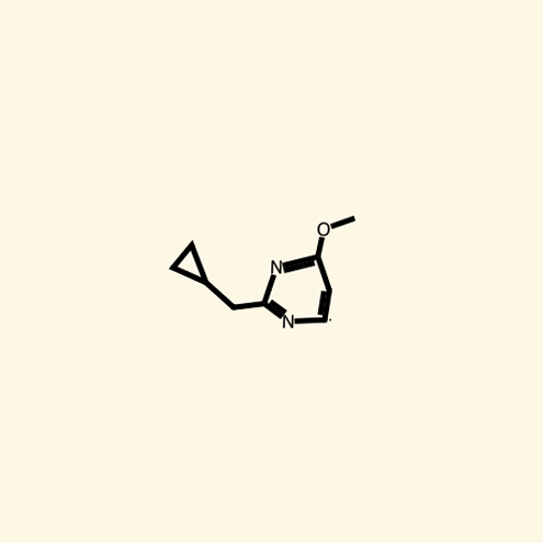 COc1c[c]nc(CC2CC2)n1